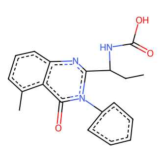 CCC(NC(=O)O)c1nc2cccc(C)c2c(=O)n1-c1ccccc1